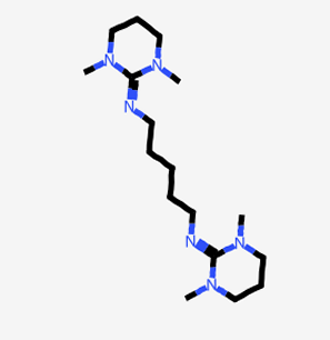 CN1CCCN(C)C1=NCCCCCN=C1N(C)CCCN1C